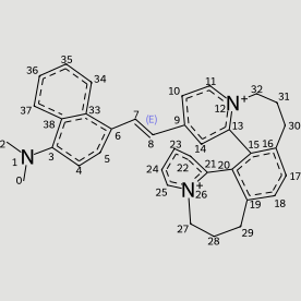 CN(C)c1ccc(/C=C/c2cc[n+]3c(c2)-c2c(ccc4c2-c2cccc[n+]2CCC4)CCC3)c2ccccc12